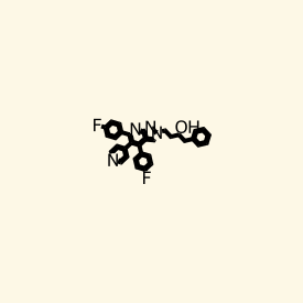 OC(CCn1cc2c(-c3ccc(F)cc3)c(-c3ccncc3)c(-c3ccc(F)cc3)nc2n1)Cc1ccccc1